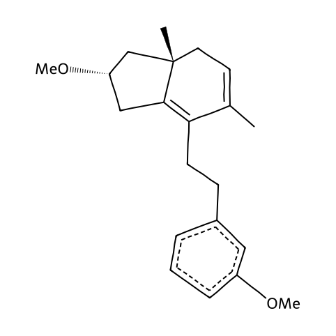 COc1cccc(CCC2=C3C[C@H](OC)C[C@]3(C)CC=C2C)c1